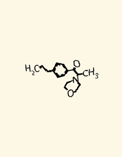 C=CCc1ccc(C(=O)C(C)N2CCOCC2)cc1